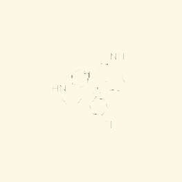 CC1(C(=O)c2cccc3c2C=CC=CN3)C(c2cccc(Cl)c2)=CC=CC1C(N)=O